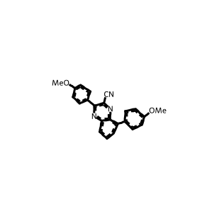 COc1ccc(-c2nc3cccc(-c4ccc(OC)cc4)c3nc2C#N)cc1